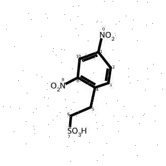 O=[N+]([O-])c1ccc(CCS(=O)(=O)O)c([N+](=O)[O-])c1